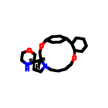 C1CCN2CC[C@@]3(COCCN3)[C@@H]2COC2CCC(CC2)C2CCCCC2OC1